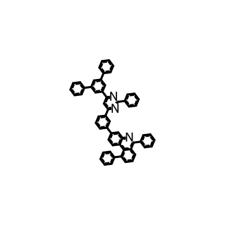 c1ccc(-c2cc(-c3ccccc3)cc(-c3cc(-c4cccc(-c5ccc6c(c5)nc(-c5ccccc5)c5cccc(-c7ccccc7)c56)c4)nc(-c4ccccc4)n3)c2)cc1